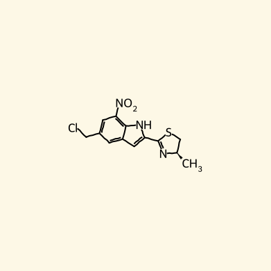 C[C@@H]1CSC(c2cc3cc(CCl)cc([N+](=O)[O-])c3[nH]2)=N1